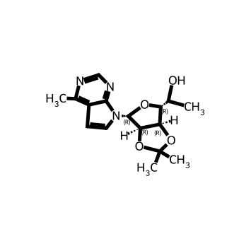 Cc1ncnc2c1ccn2[C@@H]1O[C@H](C(C)O)[C@H]2OC(C)(C)O[C@H]21